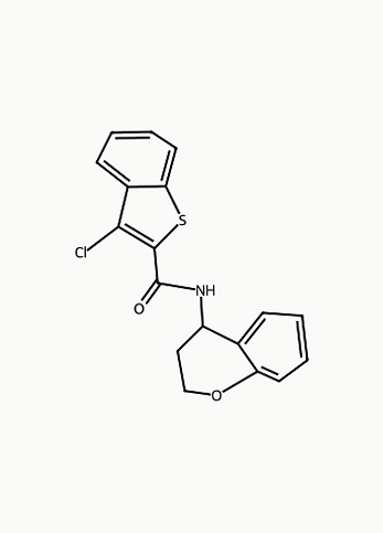 O=C(NC1CCOc2ccccc21)c1sc2ccccc2c1Cl